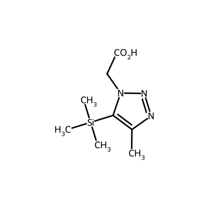 Cc1nnn(CC(=O)O)c1[Si](C)(C)C